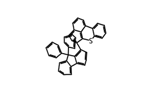 c1ccc(C2(c3ccccc3)c3ccccc3-c3cccc(-c4ccc5cccc6c5c4Sc4ccccc4-6)c32)cc1